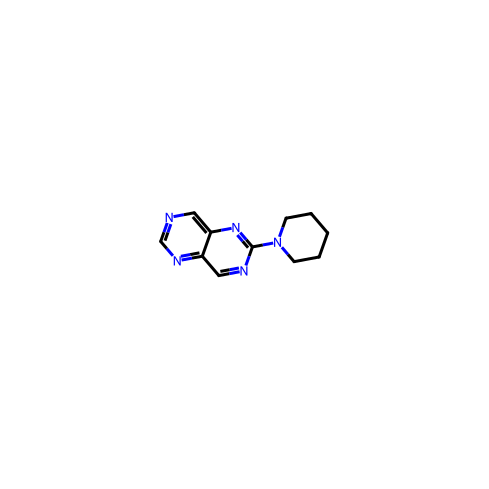 c1ncc2nc(N3CCCCC3)ncc2n1